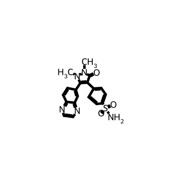 Cn1c(-c2ccc3nccnc3c2)c(-c2ccc(S(N)(=O)=O)cc2)c(=O)n1C